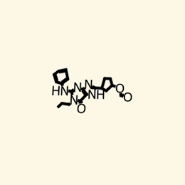 CCCn1c(Nc2ccccc2)nc2nc(C3CCC(OC=O)C3)[nH]c2c1=O